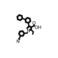 CCc1c(C(=O)O)c(-c2cccc(-c3ccccc3)c2)cn1Cc1cccc(C#N)c1